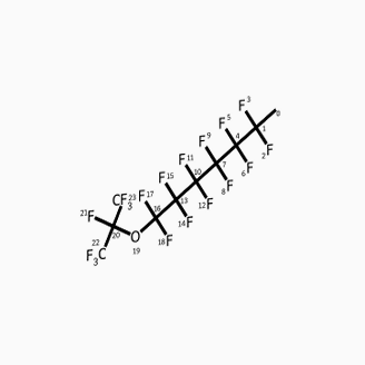 CC(F)(F)C(F)(F)C(F)(F)C(F)(F)C(F)(F)C(F)(F)OC(F)(C(F)(F)F)C(F)(F)F